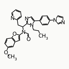 CCCn1c(-c2ccc(-n3ccnc3)cc2)cnc1C(Cc1ccccn1)N(C=O)c1cc2cc(OC)ccc2o1